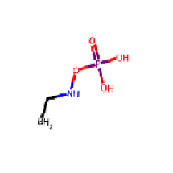 BCNOP(=O)(O)O